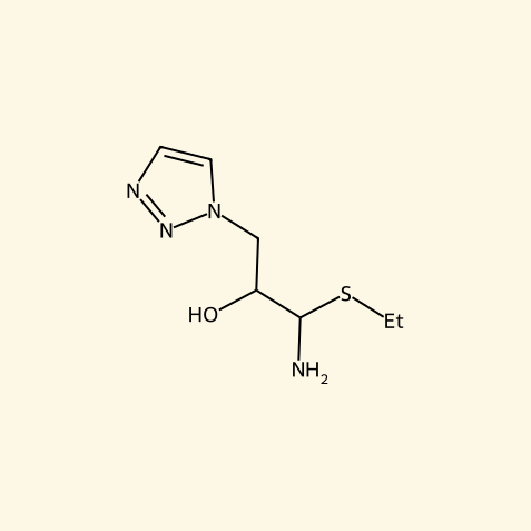 CCSC(N)C(O)Cn1ccnn1